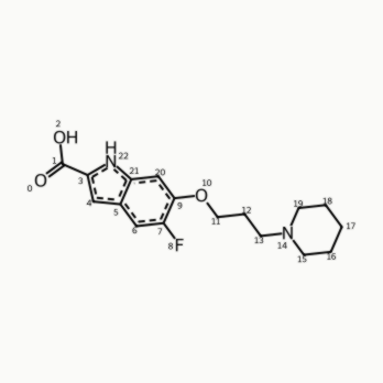 O=C(O)c1cc2cc(F)c(OCCCN3CCCCC3)cc2[nH]1